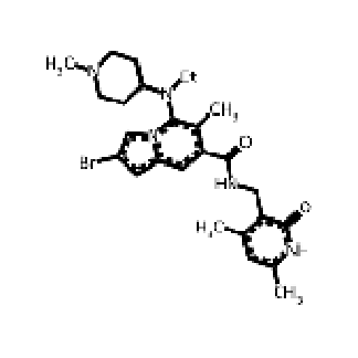 CCN(c1c(C)c(C(=O)NCc2c(C)cc(C)[nH]c2=O)cc2cc(Br)cn12)C1CCN(C)CC1